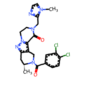 C[C@@H]1Cc2nn3c(c2CN1C(=O)c1ccc(Cl)c(Cl)c1)C(=O)N(Cc1nccn1C)CC3